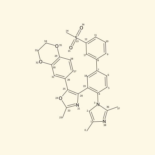 Cc1cn(-c2ccc(-c3cccc(S(C)(=O)=O)c3)cc2-c2nc(C)oc2-c2ccc3c(c2)OCCO3)c(C)n1